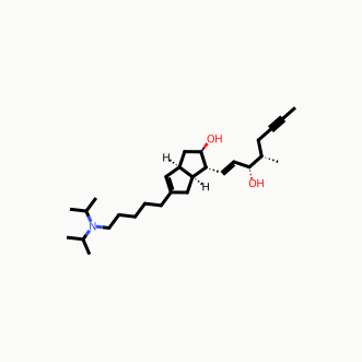 CC#CC[C@H](C)[C@H](O)/C=C/[C@@H]1[C@H]2CC(CCCCCN(C(C)C)C(C)C)=C[C@H]2C[C@H]1O